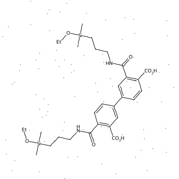 CCO[Si](C)(C)CCCNC(=O)c1ccc(-c2ccc(C(=O)O)c(C(=O)NCCC[Si](C)(C)OCC)c2)cc1C(=O)O